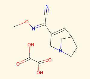 CON=C(C#N)C1=CC2CCN(C1)C2.O=C(O)C(=O)O